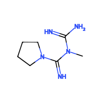 CN(C(=N)N)C(=N)N1CCCC1